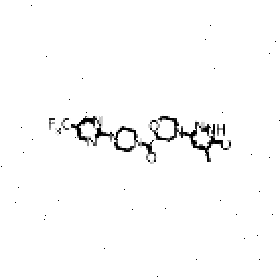 Cc1cc(N2CCO[C@@H](C(=O)N3CCN(c4ncc(C(F)(F)F)cn4)CC3)C2)n[nH]c1=O